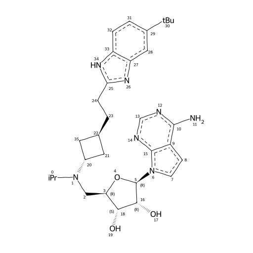 CC(C)N(C[C@H]1O[C@@H](n2ccc3c(N)ncnc32)[C@H](O)[C@@H]1O)[C@H]1C[C@H](CCc2nc3cc(C(C)(C)C)ccc3[nH]2)C1